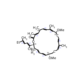 CC/C(C)=C/C=C(\C)[C@H]1OC(=O)/C(C)=C/[C@H](C)/C=C/C(C)=C/[C@@H](OC)C/C=C/C(C)=C\CC[C@H](OC)/C=C/C=C/[C@@H]1C